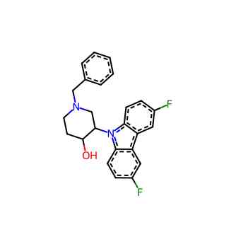 OC1CCN(Cc2ccccc2)CC1n1c2ccc(F)cc2c2cc(F)ccc21